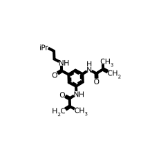 C=C(C)C(=O)Nc1cc(NC(=O)C(=C)C)cc(C(=O)NCCC(C)C)c1